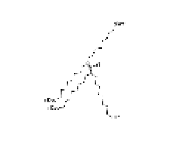 CCCCCCCCCCCCCCCCCC[N](CCCCCCCCCCCCCCCCCC)[Ti]([Cl])[N](CCCCCCCCCCCCCCCCCC)CCCCCCCCCCCCCCCCCC